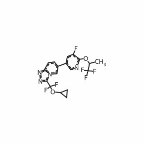 CC(Oc1ncc(-c2ccc3nnc(C(F)(F)OC4CC4)n3c2)cc1F)C(F)(F)F